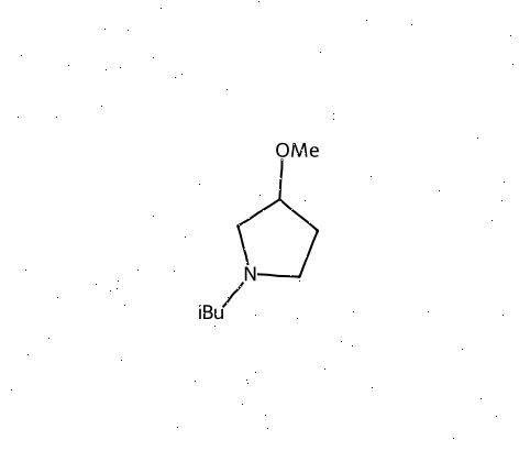 CCC(C)N1CCC(OC)C1